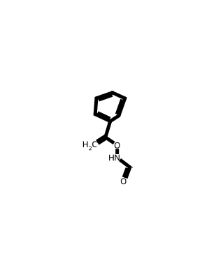 C=C(ON[C]=O)c1ccccc1